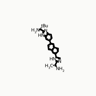 C[C@H](N)c1ncc(-c2ccc3cc(-c4ccc5nc([C@@H](N)C(C)(C)C)[nH]c5c4)ccc3c2)[nH]1